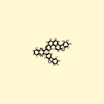 c1ccc2nc(-c3ccc4c(c3)oc3ccccc34)c(-c3ccc4c(ccc5ccc6c(ccc7oc8ccccc8c76)c54)c3)nc2c1